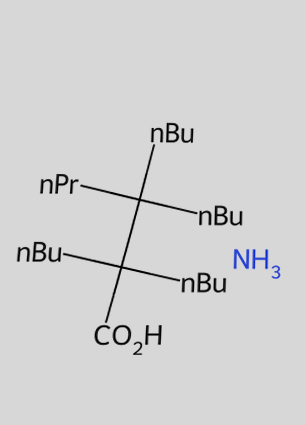 CCCCC(CCC)(CCCC)C(CCCC)(CCCC)C(=O)O.N